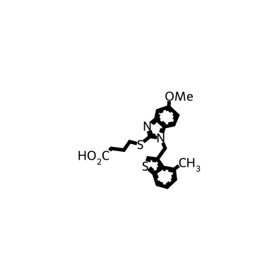 COc1ccc2c(c1)nc(SCCCC(=O)O)n2Cc1csc2cccc(C)c12